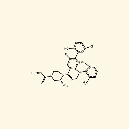 C=CC(=O)N1CCN(C2=NCN(c3c(C)cccc3C(C)C)c3nc(-c4cc(Cl)ccc4O)c(F)cc32)[C@@H](C)C1